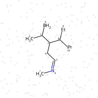 BC(C)C(C/C=N\C)C(CC)C(C)C